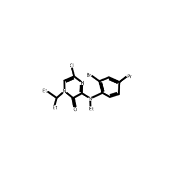 CCC(CC)n1cc(Cl)nc(N(CC)c2ccc(C(C)C)cc2Br)c1=O